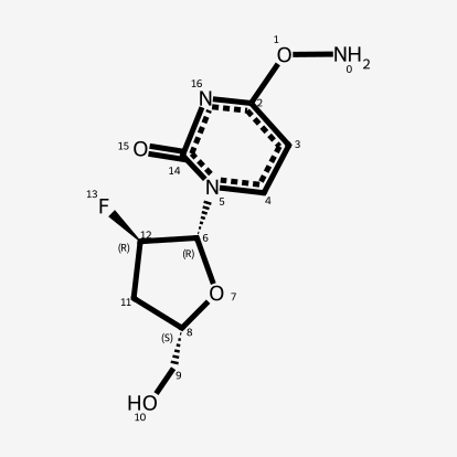 NOc1ccn([C@@H]2O[C@H](CO)C[C@H]2F)c(=O)n1